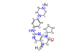 CC(=O)N1CCN(c2ccc(Nc3ncc4c(n3)N(C3CCCC3)C(=O)CN4C)cc2)CC1